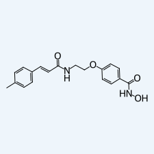 Cc1ccc(C=CC(=O)NCCOc2ccc(C(=O)NO)cc2)cc1